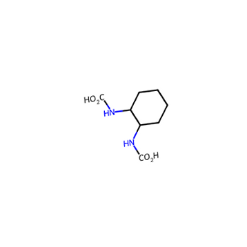 O=C(O)NC1CCCCC1NC(=O)O